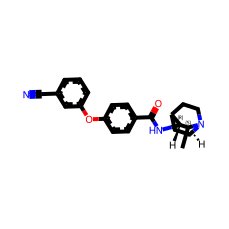 C[C@H]1[C@H](NC(=O)c2ccc(Oc3cccc(C#N)c3)cc2)C2CCN1CC2